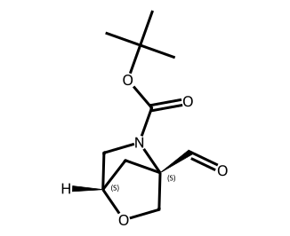 CC(C)(C)OC(=O)N1C[C@@H]2C[C@@]1(C=O)CO2